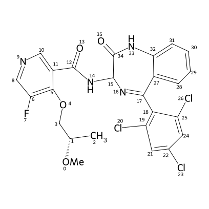 CO[C@@H](C)COc1c(F)cncc1C(=O)NC1N=C(c2c(Cl)cc(Cl)cc2Cl)c2ccccc2NC1=O